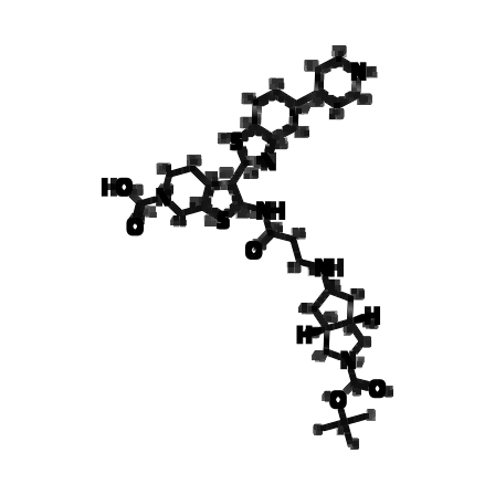 CC(C)(C)OC(=O)N1C[C@H]2CC(NCCC(=O)Nc3sc4c(c3-c3nc5cc(-c6ccncc6)ccc5s3)CCN(C(=O)O)C4)C[C@H]2C1